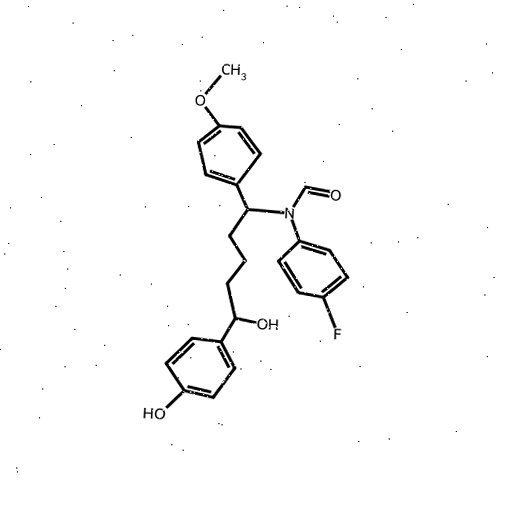 COc1ccc(C(CCCC(O)c2ccc(O)cc2)N(C=O)c2ccc(F)cc2)cc1